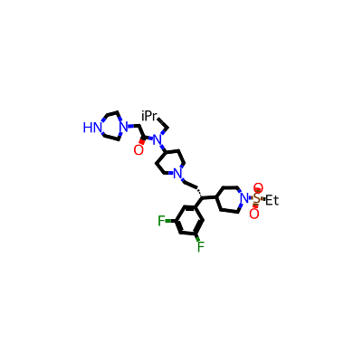 CCS(=O)(=O)N1CCC([C@@H](CCN2CCC(N(CC(C)C)C(=O)CN3CCNCC3)CC2)c2cc(F)cc(F)c2)CC1